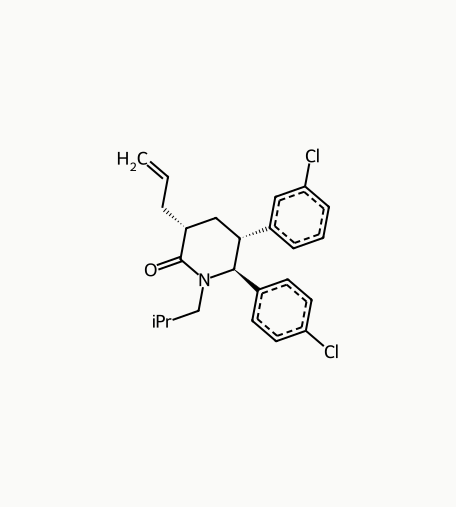 C=CC[C@@H]1C[C@H](c2cccc(Cl)c2)[C@@H](c2ccc(Cl)cc2)N(CC(C)C)C1=O